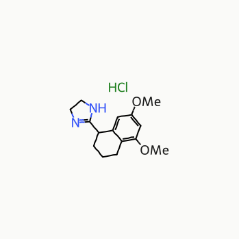 COc1cc(OC)c2c(c1)C(C1=NCCN1)CCC2.Cl